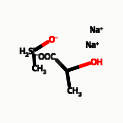 CC(O)C(=O)[O-].C[SiH2][O-].[Na+].[Na+]